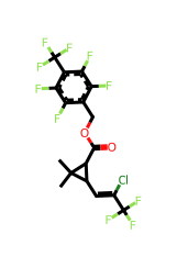 CC1(C)C(C=C(Cl)C(F)(F)F)C1C(=O)OCc1c(F)c(F)c(C(F)(F)F)c(F)c1F